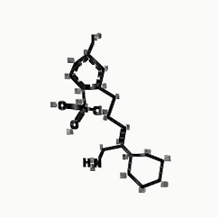 NC/C(=C\CCc1cc(F)ccc1S(=O)(=O)Cl)C1CCCCC1